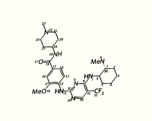 CN[C@@H]1CCCCC1Nc1nc(Nc2ccc(C(=O)NC3CCN(C)CC3)cc2OC)ncc1C(F)(F)F